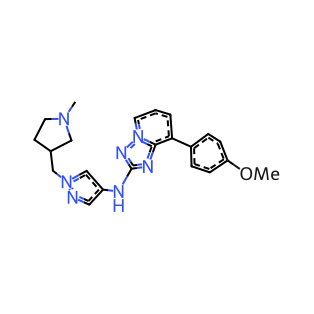 COc1ccc(-c2cccn3nc(Nc4cnn(CC5CCN(C)C5)c4)nc23)cc1